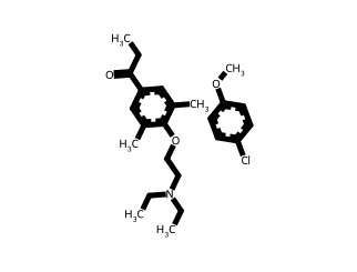 CCC(=O)c1cc(C)c(OCCN(CC)CC)c(C)c1.COc1ccc(Cl)cc1